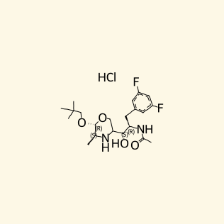 CC(=O)N[C@H](Cc1cc(F)cc(F)c1)[C@H](O)C1CO[C@@H](OCC(C)(C)C)[C@H](C)N1.Cl